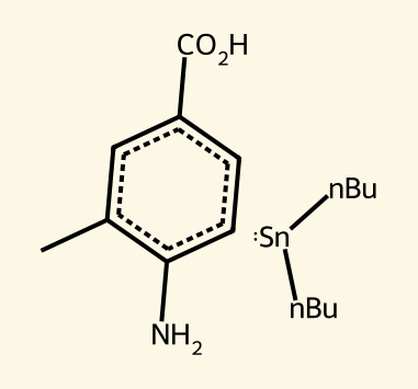 CCC[CH2][Sn][CH2]CCC.Cc1cc(C(=O)O)ccc1N